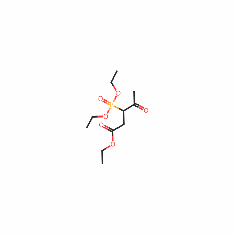 CCOC(=O)CC(C(C)=O)P(=O)(OCC)OCC